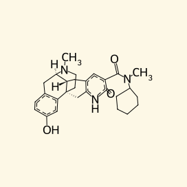 CN(C(=O)c1cc2c([nH]c1=O)C[C@]13CCN(C)[C@H](Cc4ccc(O)cc41)[C@@H]3C2)C1CCCCC1